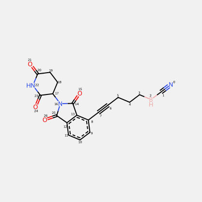 N#CBCCCC#Cc1cccc2c1C(=O)N(C1CCC(=O)NC1=O)C2=O